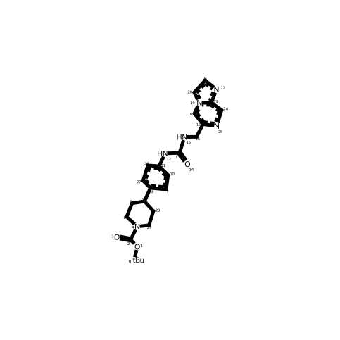 CC(C)(C)OC(=O)N1CCC(c2ccc(NC(=O)NCc3cn4ccnc4cn3)cc2)CC1